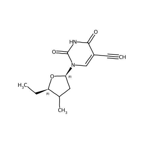 C#Cc1cn([C@H]2CC(C)[C@@H](CC)O2)c(=O)[nH]c1=O